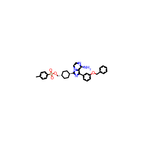 Cc1ccc(S(=O)(=O)OC[C@H]2CC[C@H](c3nc(-c4cccc(OCc5ccccc5)c4)c4c(N)nccn43)CC2)cc1